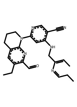 C/C=C(CNc1cc(N2CCCc3cc(CC)c(C=O)nc32)ncc1C#N)\N=C/CC